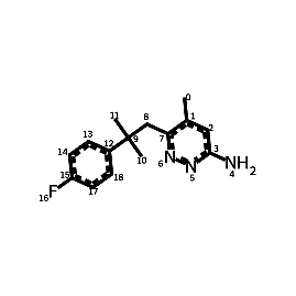 Cc1cc(N)nnc1CC(C)(C)c1ccc(F)cc1